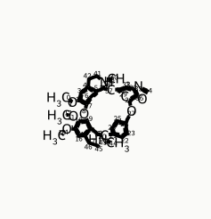 COc1cc2c3cc1Oc1c(OC)c(OC)cc4c1[C@H](Cc1ccc(cc1)Oc1cc(cc5ncoc15)C[C@H]3N(C)CC2)N(C)CC4